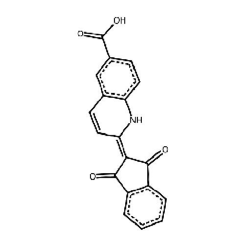 O=C(O)c1ccc2c(c1)C=CC(=C1C(=O)c3ccccc3C1=O)N2